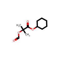 CC(C)(O[C]=O)C(=O)OC1CCCCC1